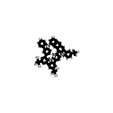 CC(C)(C)c1ccc2c(c1)c1cc3ccccc3c3c4nc5c(cc4n2c13)c1cc(C(C)(C)C)cc2c3cc(C(C)(C)C)cc(-c4ccc6c(c4)c4ccccc4n6-c4ccccc4)c3n5c12